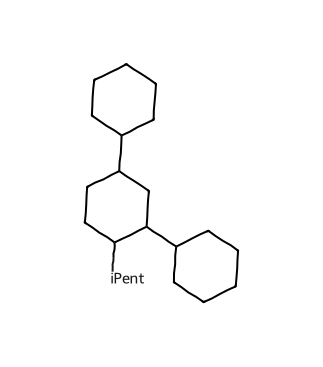 CCCC(C)C1CCC(C2CCCCC2)CC1C1CCCCC1